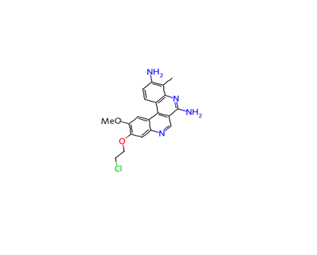 COc1cc2c(cc1OCCCl)ncc1c(N)nc3c(C)c(N)ccc3c12